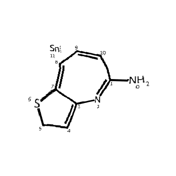 NC1=NC2=CCSC2=CC=C1.[Sn]